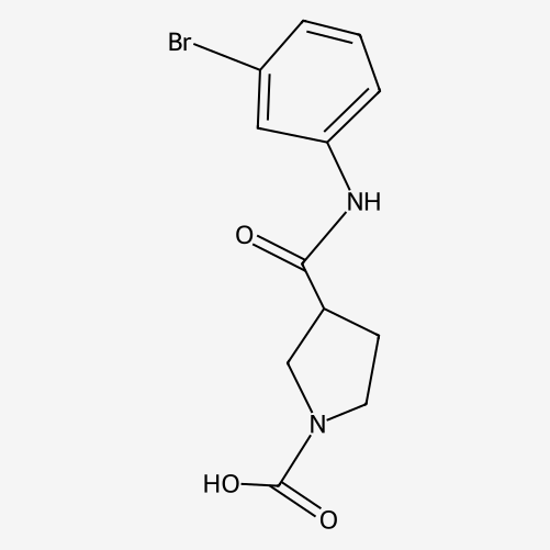 O=C(Nc1cccc(Br)c1)C1CCN(C(=O)O)C1